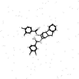 Cc1ccc(C(=O)O[C@H]2C3CC(C4Cc5ccccc5C43)[C@H]2OC(O)c2ccc(C)c(C)c2)cc1C